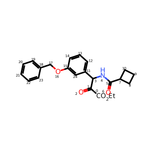 CCOC(=O)C(=O)C(NC(=O)C1CCC1)c1cccc(OCc2ccccc2)c1